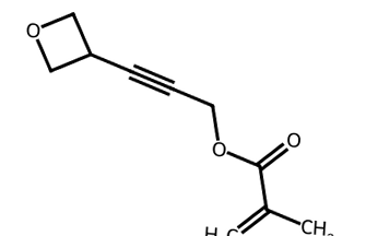 C=C(C)C(=O)OCC#CC1COC1